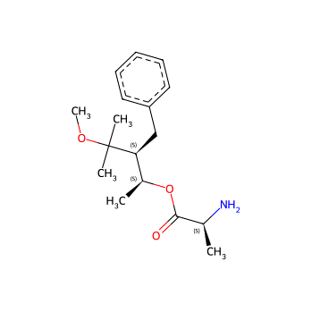 COC(C)(C)[C@@H](Cc1ccccc1)[C@H](C)OC(=O)[C@H](C)N